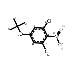 CC(C)(C)Oc1cc(Cl)c([N+](=O)[O-])c(Cl)c1